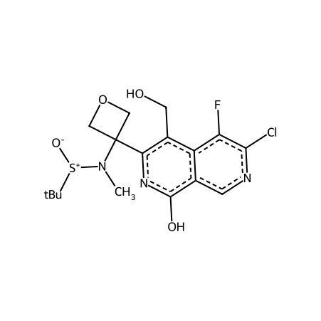 CN([S+]([O-])C(C)(C)C)C1(c2nc(O)c3cnc(Cl)c(F)c3c2CO)COC1